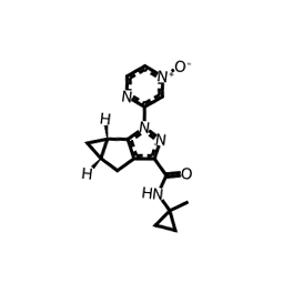 CC1(NC(=O)c2nn(-c3c[n+]([O-])ccn3)c3c2C[C@@H]2C[C@H]32)CC1